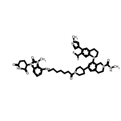 CNC(=O)N1CCc2cc(C3CCN(C(=O)CCCCCCNc4cccc5c4n(C)c(=O)n5C4CCC(=O)NC4=O)CC3)cc(N3CCCc4cc(-c5cnn(C)c5)c(C(F)F)cc43)c2C1